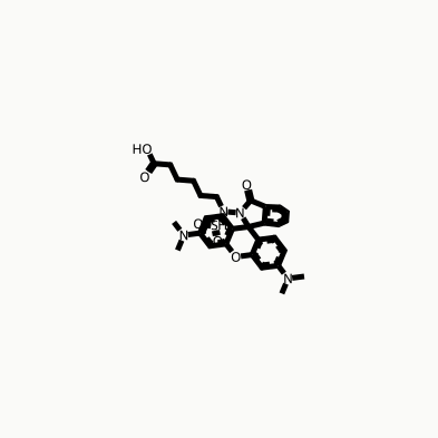 CN(C)c1ccc2c(c1)Oc1cc(N(C)C)ccc1C21c2ccccc2C(=O)N1N(CCCCCC(=O)O)[SH](=O)=O